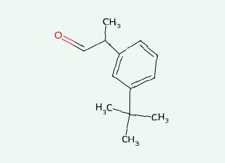 CC(C=O)c1cccc(C(C)(C)C)c1